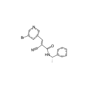 C[C@H](NC(=O)/C(C#N)=C/c1cncc(Br)c1)c1ccccc1